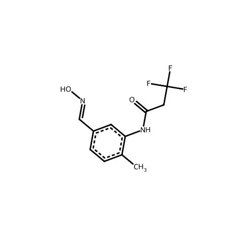 Cc1ccc(C=NO)cc1NC(=O)CC(F)(F)F